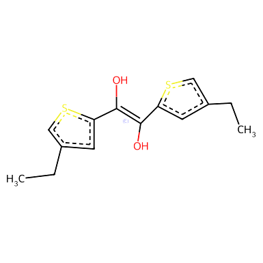 CCc1csc(/C(O)=C(\O)c2cc(CC)cs2)c1